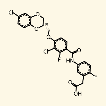 O=C(O)Cc1cc(NC(=O)c2ccc(OC[C@H]3COc4cc(Cl)ccc4O3)c(Cl)c2F)ccc1F